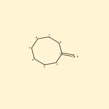 S=C1C[CH]CCC[CH]C1